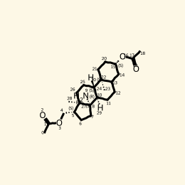 CC(=O)OC[C@H]1CC[C@]2(N)[C@@H]3CCC4C[C@@H](OC(C)=O)CC[C@]4(C)[C@H]3CC[C@]12C